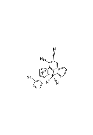 N#Cc1ccc(P(C#N)(C#N)(c2ccccc2)c2ccccc2)c(C#N)c1C#N.[Na][c]1ccccc1